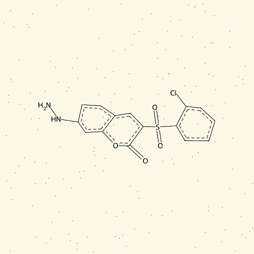 NNc1ccc2cc(S(=O)(=O)c3ccccc3Cl)c(=O)oc2c1